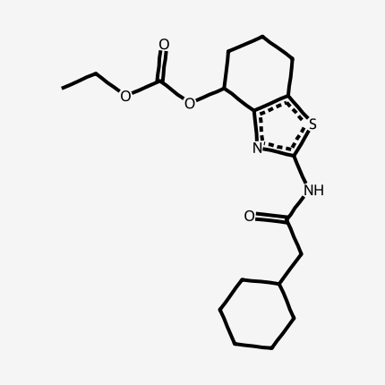 CCOC(=O)OC1CCCc2sc(NC(=O)CC3CCCCC3)nc21